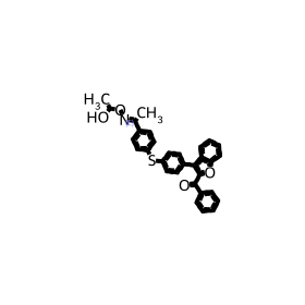 C/C(=N\OC(C)O)c1ccc(Sc2ccc(-c3c(C(=O)c4ccccc4)oc4ccccc34)cc2)cc1